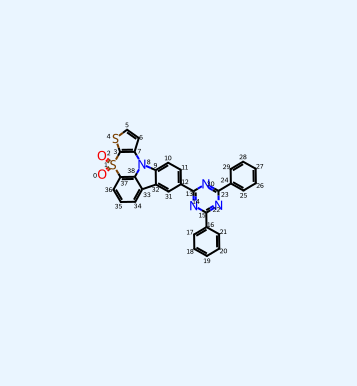 O=S1(=O)c2sccc2-n2c3ccc(-c4nc(-c5ccccc5)nc(-c5ccccc5)n4)cc3c3cccc1c32